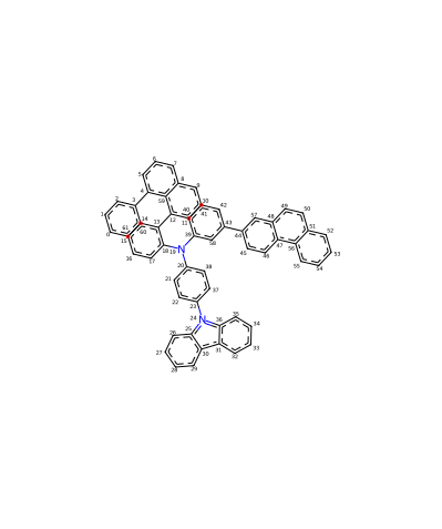 c1ccc(-c2cccc3cccc(-c4ccccc4N(c4ccc(-n5c6ccccc6c6ccccc65)cc4)c4cccc(-c5ccc6c(ccc7ccccc76)c5)c4)c23)cc1